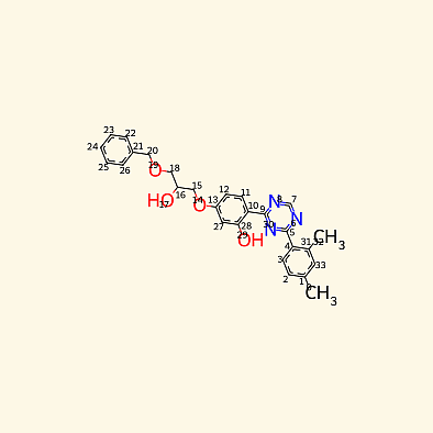 Cc1ccc(-c2ncnc(-c3ccc(OCC(O)COCc4ccccc4)cc3O)n2)c(C)c1